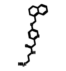 O=C(O)CCNC(=O)Cc1ccc(OCC2=C3C=CC=CC3CCC2)cn1